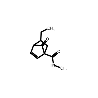 CCC1CC2(C(=O)NC)C=CC1C2=O